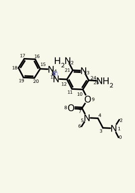 CN(C)CCN(C)C(=O)Oc1cc(/N=N/c2ccccc2)c(N)nc1N